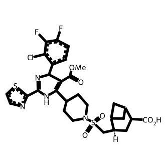 COC(=O)C1=C(C2CCN(S(=O)(=O)C[C@@H]3CC(C(=O)O)C4CC3C4)CC2)NC(c2nccs2)=NC1c1ccc(F)c(F)c1Cl